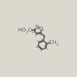 Cc1ccccc1Cc1cc(C(=O)O)no1